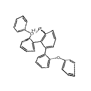 Pc1cccc(-c2ccccc2Oc2ccccc2)c1-c1ccccc1Oc1ccccc1